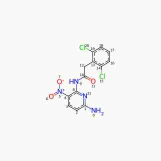 Nc1ccc([N+](=O)[O-])c(NC(=O)Cc2c(Cl)cccc2Cl)n1